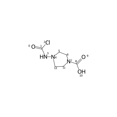 O=C(Cl)NN1CCN(C(=O)O)CC1